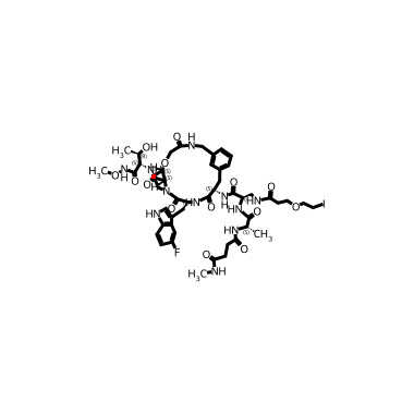 CNC(=O)CCC(=O)N[C@@H](C)C(=O)N[C@H](CNC(=O)CCOCCI)C(=O)N[C@H]1Cc2cccc(c2)CNC(=O)CO[C@H]2CCN(C(=O)[C@H](Cc3c[nH]c4ccc(F)cc34)NC1=O)[C@@H]2C(=O)N[C@H](C(=O)NOC)[C@@H](C)O